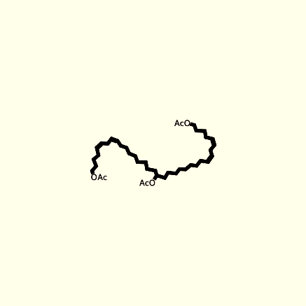 CC(=O)OCCCC/C=C\C/C=C\CCCCCCCCC(CCCCCCCC/C=C\C/C=C\CCCCOC(C)=O)OC(C)=O